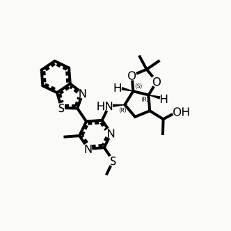 CSc1nc(C)c(-c2nc3ccccc3s2)c(N[C@@H]2CC(C(C)O)[C@H]3OC(C)(C)O[C@H]32)n1